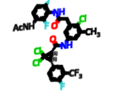 CC(=O)Nc1ccc(F)c(NC(=O)Cc2cc(NC(=O)[C@H]3[C@H](c4ccc(F)c(C(F)(F)F)c4)C3(Cl)Cl)cc(C)c2Cl)c1F